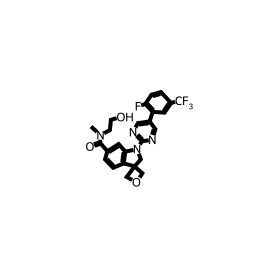 CN(CCO)C(=O)c1ccc2c(c1)N(c1ncc(-c3cc(C(F)(F)F)ccc3F)cn1)CC21COC1